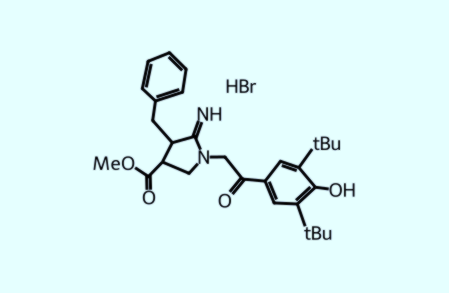 Br.COC(=O)C1CN(CC(=O)c2cc(C(C)(C)C)c(O)c(C(C)(C)C)c2)C(=N)C1Cc1ccccc1